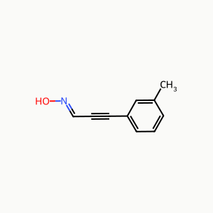 Cc1cccc(C#CC=NO)c1